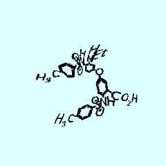 CCNc1cc(Oc2ccc(NS(=O)(=O)c3ccc(C)cc3)c(C(=O)O)c2)ccc1NS(=O)(=O)c1ccc(C)cc1